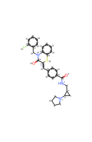 O=C(NCC1CC1N1CCCC1)c1ccc(/C=C2\Sc3ccccc3N(Cc3ccccc3F)C2=O)cc1